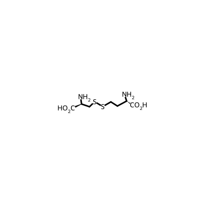 N[C@@H](CCSSC[C@H](N)C(=O)O)C(=O)O